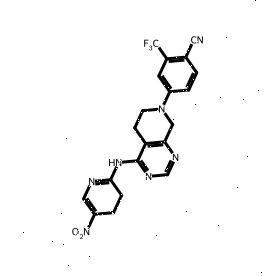 N#Cc1ccc(N2CCc3c(ncnc3NC3=NC=C([N+](=O)[O-])CC3)C2)cc1C(F)(F)F